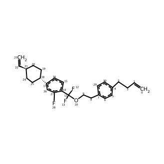 C=CCCc1ccc(CCOC(F)(F)c2ccc([C@H]3CC[C@H](C=C)CC3)cc2F)cc1